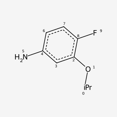 CC(C)Oc1cc(N)ccc1F